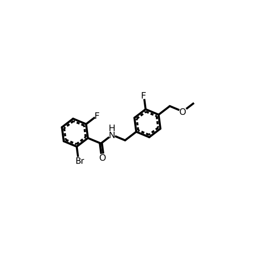 COCc1ccc(CNC(=O)c2c(F)cccc2Br)cc1F